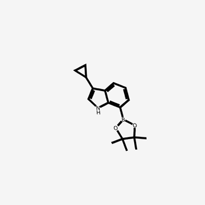 CC1(C)OB(c2cccc3c(C4CC4)c[nH]c23)OC1(C)C